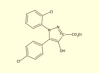 CCOC(=O)[13c]1nn(-c2ccccc2Cl)c(-c2ccc(Cl)cc2)c1O